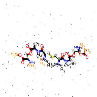 CC(C)C(C(=O)OC[C@@H](NP)C(=O)OP)N(C)C(=O)[C@H](CSC[C@@H](C(=O)N(C)[C@H](C(=O)OC[C@@H](NP)OC(=O)P)C(C)C)N(C)C)N(C)P